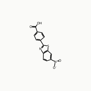 O=C(O)c1ccc(-c2nc3ccc([N+](=O)[O-])cc3s2)cc1